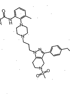 CNC(=O)Nc1cccc(C)c1N1CCN(CCCn2nc(-c3ccc(CF)cc3)c3c2CCN(S(C)(=O)=O)C3)CC1